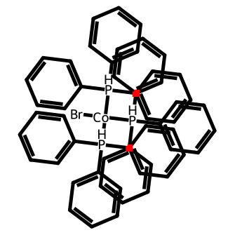 [Br][Co]([PH](c1ccccc1)(c1ccccc1)c1ccccc1)([PH](c1ccccc1)(c1ccccc1)c1ccccc1)[PH](c1ccccc1)(c1ccccc1)c1ccccc1